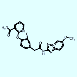 NC(=O)c1cccnc1Oc1ccc(CC(=O)Nc2nc3ccc(OC(F)(F)F)cn3n2)cc1F